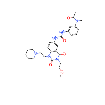 COCCn1c(=O)c2cc(NC(=O)Nc3cccc(N(C)C(C)=O)c3)ccc2n(CCN2CCCCC2)c1=O